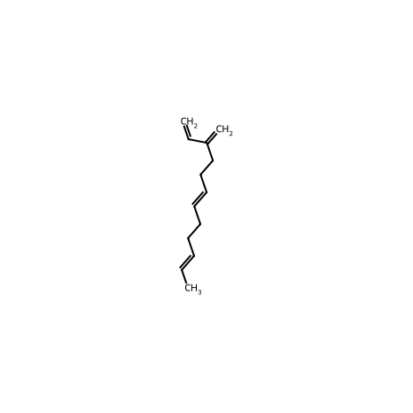 C=CC(=C)CC/C=C/CC/C=C/C